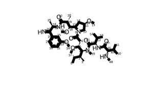 CC[C@H](C)[C@@H]([C@@H](CC(=O)N1C[C@H](OC)CC1[C@H](OC)[C@@H](C)C(=O)N[C@H](C)C(=N)c1cccc(OC)c1)OC)N(C)C(=O)[C@@H](NC(=O)[C@@H](NC)C(C)C)C(C)C